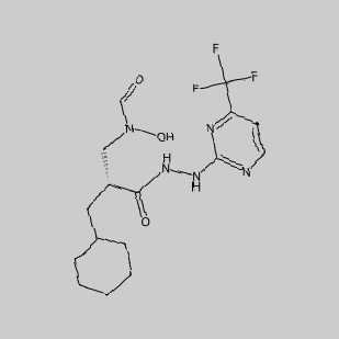 O=CN(O)C[C@@H](CC1CCCCC1)C(=O)NNc1nccc(C(F)(F)F)n1